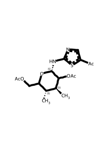 CC(=O)OCC1O[C@H](Nc2ncc(C(C)=O)s2)C(OC(C)=O)[C@@H](C)[C@@H]1C